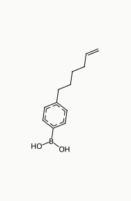 C=CCCCCc1ccc(B(O)O)cc1